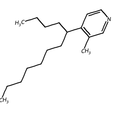 CCCCCCCC(CCCC)c1ccncc1C